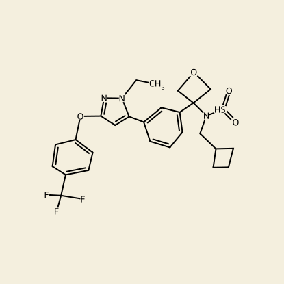 CCn1nc(Oc2ccc(C(F)(F)F)cc2)cc1-c1cccc(C2(N(CC3CCC3)[SH](=O)=O)COC2)c1